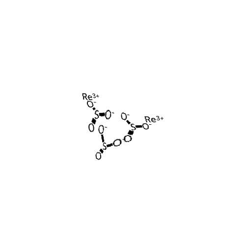 O=S([O-])[O-].O=S([O-])[O-].O=S([O-])[O-].[Re+3].[Re+3]